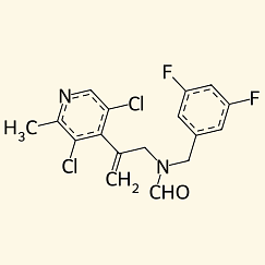 C=C(CN(C=O)Cc1cc(F)cc(F)c1)c1c(Cl)cnc(C)c1Cl